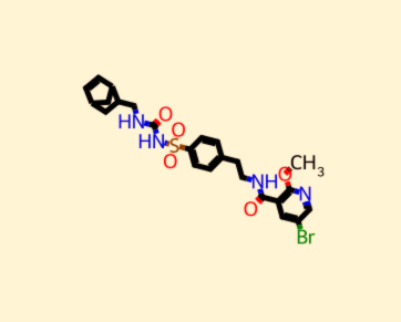 COc1ncc(Br)cc1C(=O)NCCc1ccc(S(=O)(=O)NC(=O)NCC2CC3C=CC2C3)cc1